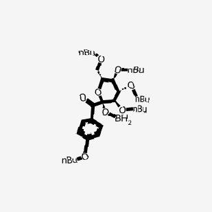 BO[C@@]1(C(=O)c2ccc(OCCCC)cc2)O[C@H](COCCCC)[C@@H](OCCCC)[C@H](OCCCC)[C@H]1OCCCC